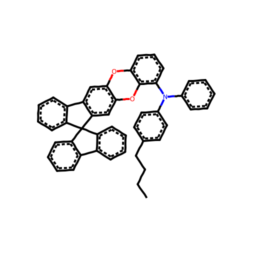 CCCCc1ccc(N(c2ccccc2)c2cccc3c2Oc2cc4c(cc2O3)-c2ccccc2C42c3ccccc3-c3ccccc32)cc1